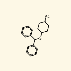 CC(=O)N1CCC(SC(c2ccccc2)c2ccccc2)CC1